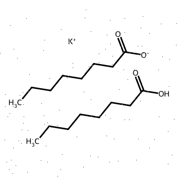 CCCCCCCC(=O)O.CCCCCCCC(=O)[O-].[K+]